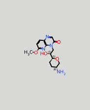 COc1ccc2ncc(=O)n(C[C@H](O)[C@@H]3CC[C@@H](N)CO3)c2n1